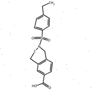 CCc1ccc(S(=O)(=O)N2CCc3cc(C(=O)O)ccc3C2)cc1